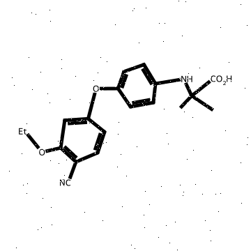 CCOc1cc(Oc2ccc(NC(C)(C)C(=O)O)cc2)ccc1C#N